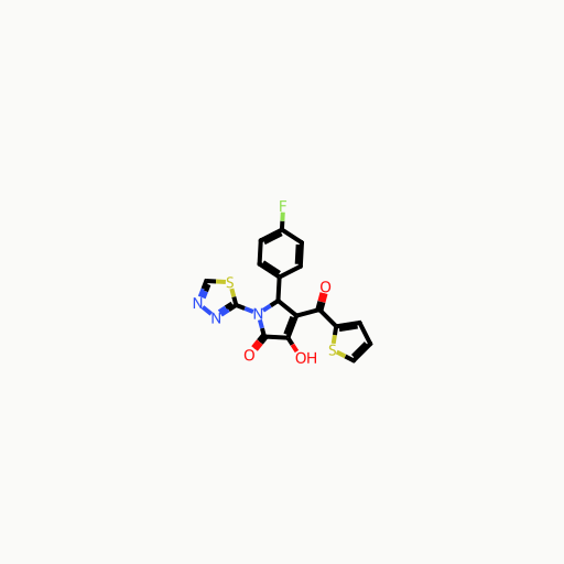 O=C(C1=C(O)C(=O)N(c2nncs2)C1c1ccc(F)cc1)c1cccs1